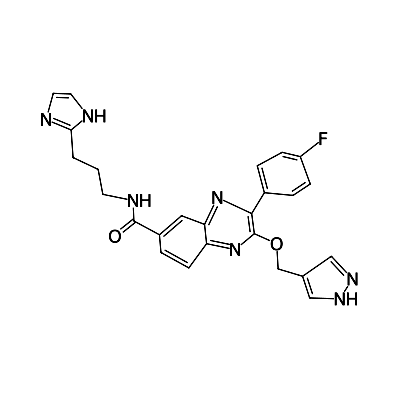 O=C(NCCCc1ncc[nH]1)c1ccc2nc(OCc3cn[nH]c3)c(-c3ccc(F)cc3)nc2c1